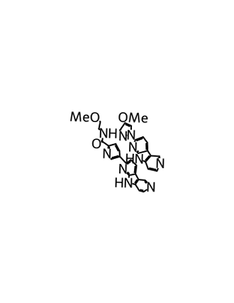 COCCNC(=O)c1ccc(-c2ccc3c(n2)[nH]c2ccncc23)cn1.COc1cnn(-c2ccc3c(n2)[nH]c2ccncc23)c1